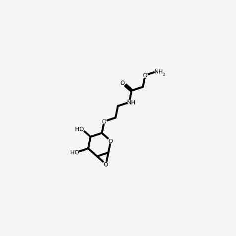 NOCC(=O)NCCOC1OC2OC2C(O)C1O